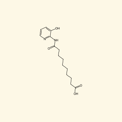 O=C(O)CCCCCCCCC(=O)Nc1ncccc1O